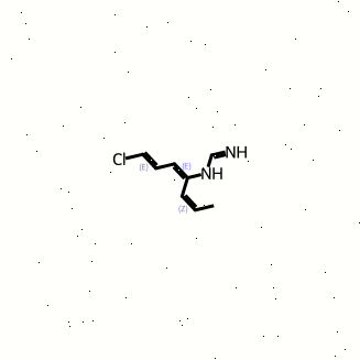 C\C=C/C(=C\C=C\Cl)NC=N